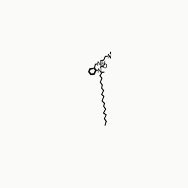 CCCCCCCCCCCCCCCCCC(C)N(C=O)c1ccccc1CNCCCN(C)C